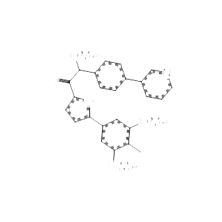 COc1cc(-c2ccc(C(=O)C(OC)c3ccc(-c4cccnc4)cc3)o2)cc(OC)c1C